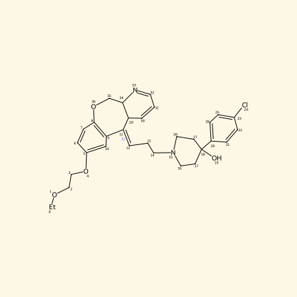 CCOCCOc1ccc2c(c1)/C(=C/CCN1CCC(O)(c3ccc(Cl)cc3)CC1)C1C=CC=NC1CO2